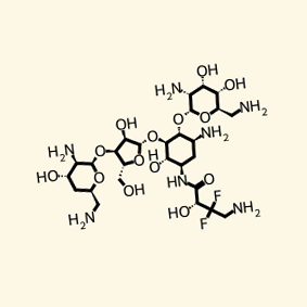 NC[C@H]1C[C@H](O)[C@@H](N)[C@@H](O[C@H]2[C@@H](O)[C@H](O[C@@H]3[C@@H](O)[C@H](NC(=O)[C@@H](O)C(F)(F)CN)C[C@H](N)[C@H]3O[C@H]3O[C@H](CN)[C@@H](O)[C@@H](O)[C@H]3N)O[C@@H]2CO)O1